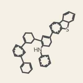 C1=CC2Sc3cc(C4=CC(C5CCC=C(c6cccc(C7=CCCC=C7)c6)C5)=C(Nc5ccccc5)CC4)ccc3C2C=C1